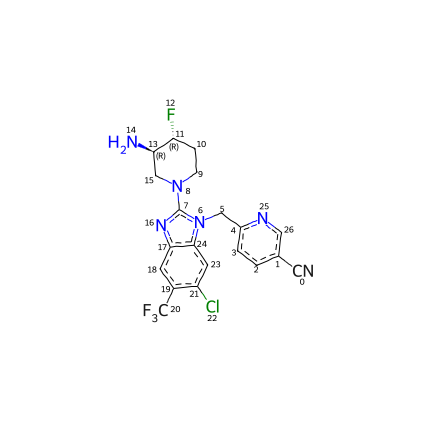 N#Cc1ccc(Cn2c(N3CC[C@@H](F)[C@H](N)C3)nc3cc(C(F)(F)F)c(Cl)cc32)nc1